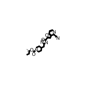 CC[C@H](C)OC(=O)N1CCC(Cc2noc(-c3cc4c(C#N)nccc4o3)n2)CC1